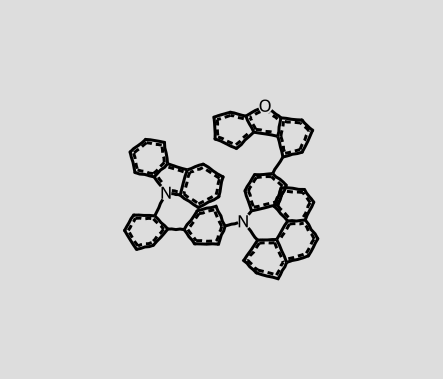 c1ccc(-n2c3ccccc3c3ccccc32)c(-c2ccc(N(c3ccc(-c4cccc5oc6ccccc6c45)cc3)c3cccc4ccc5ccccc5c34)cc2)c1